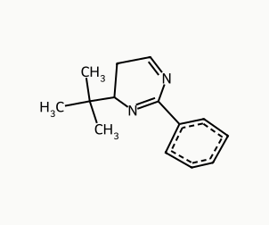 CC(C)(C)C1CC=NC(c2ccccc2)=N1